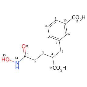 O=C(CCC(Cc1cccc(C(=O)O)c1)C(=O)O)NO